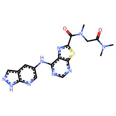 CN(C)C(=O)CN(C)C(=O)c1nc2c(Nc3cnc4[nH]ncc4c3)ncnc2s1